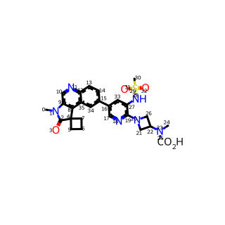 CN1C(=O)C2(CCC2)c2c1cnc1ccc(-c3cnc(N4CC(N(C)C(=O)O)C4)c(NS(C)(=O)=O)c3)cc21